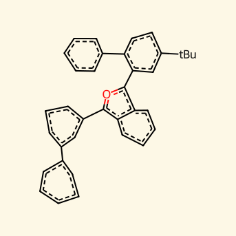 CC(C)(C)c1ccc(-c2ccccc2)c(-c2oc(-c3cccc(-c4ccccc4)c3)c3ccccc23)c1